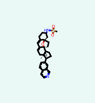 C[C@]12CC=C3C=C4CCC(NS(C)(=O)=O)C[C@]45CC[C@]3(O5)[C@@H]1CCC2c1ccc2ccncc2c1